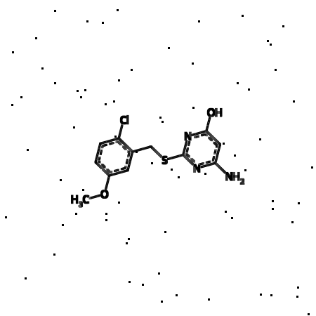 COc1ccc(Cl)c(CSc2nc(N)cc(O)n2)c1